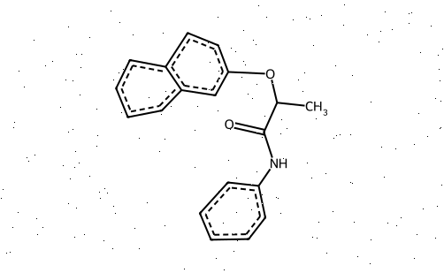 CC(Oc1ccc2ccccc2c1)C(=O)Nc1ccccc1